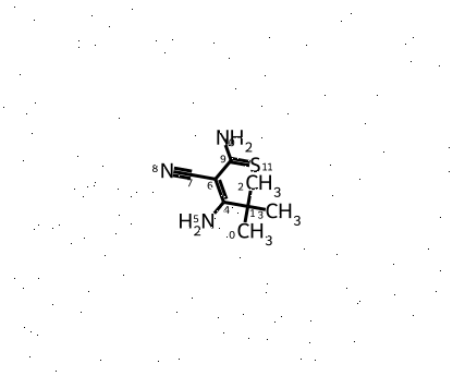 CC(C)(C)C(N)=C(C#N)C(N)=S